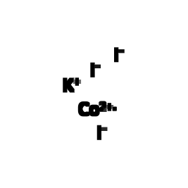 [Co+2].[I-].[I-].[I-].[K+]